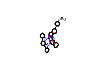 CCCCc1ccc(-c2ccc(-c3nc(-c4ccccc4)nc(-n4c5ccccc5c5ccc6c7ccccc7n(-c7cccc8c7sc7ccccc78)c6c54)n3)cc2)cc1